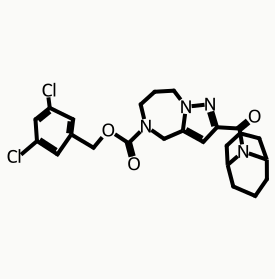 O=C(OCc1cc(Cl)cc(Cl)c1)N1CCCn2nc(C(=O)N3C4CCCC3CCC4)cc2C1